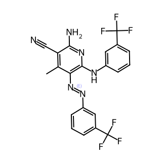 Cc1c(C#N)c(N)nc(Nc2cccc(C(F)(F)F)c2)c1/N=N/c1cccc(C(F)(F)F)c1